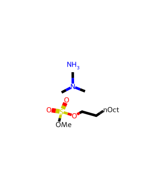 CCCCCCCCCCOS(=O)(=O)OC.CN(C)C.N